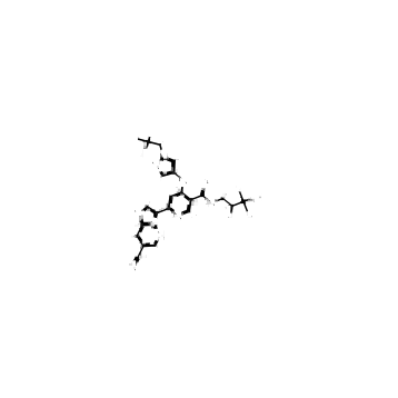 CC(F)(F)Cn1cc(Nc2cc(-c3cnc4cc(C#N)cnn34)ncc2C(=O)NCC(F)C(C)(C)O)cn1